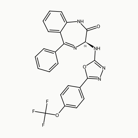 O=C1Nc2ccccc2C(c2ccccc2)=N[C@@H]1Nc1nnc(-c2ccc(OC(F)(F)F)cc2)o1